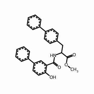 COC(=O)C(Cc1ccc(-c2ccccc2)cc1)NC(=O)c1cc(-c2ccccc2)ccc1O